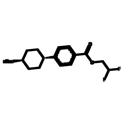 CCCCCCCCC[C@H]1CC[C@H](c2ccc(C(=O)OCC(F)F)cc2)CC1